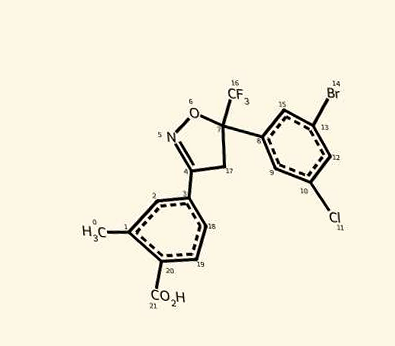 Cc1cc(C2=NOC(c3cc(Cl)cc(Br)c3)(C(F)(F)F)C2)ccc1C(=O)O